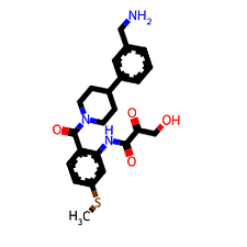 CSc1ccc(C(=O)N2CCC(c3cccc(CN)c3)CC2)c(NC(=O)C(=O)CO)c1